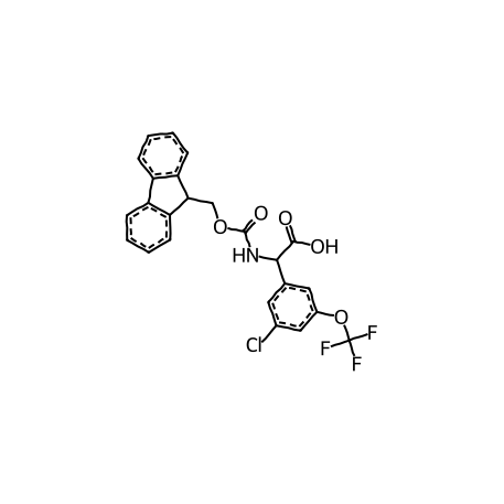 O=C(NC(C(=O)O)c1cc(Cl)cc(OC(F)(F)F)c1)OCC1c2ccccc2-c2ccccc21